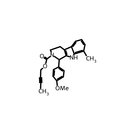 CC#CCOC(=O)N1CCc2c([nH]c3c(C)cccc23)C1c1ccc(OC)cc1